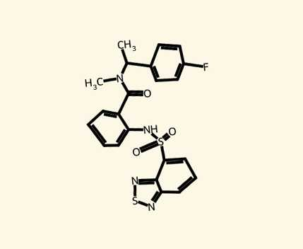 CC(c1ccc(F)cc1)N(C)C(=O)c1ccccc1NS(=O)(=O)c1cccc2nsnc12